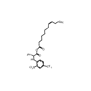 CCCCCCCCCCC/C=C\CCCCCCC(=O)OC(=O)C(Nc1ccc(C(F)(F)F)cc1[N+](=O)[O-])C(C)C